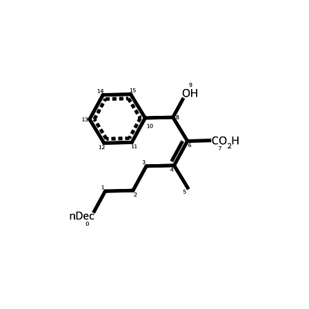 CCCCCCCCCCCCCC(C)=C(C(=O)O)C(O)c1ccccc1